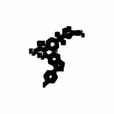 Cc1cc2c(cnn2-c2ccc(F)cc2)cc1[C@H]1CN(S(=O)(=O)c2cnn(C)c2)CCN1CC(C)C(F)(F)F